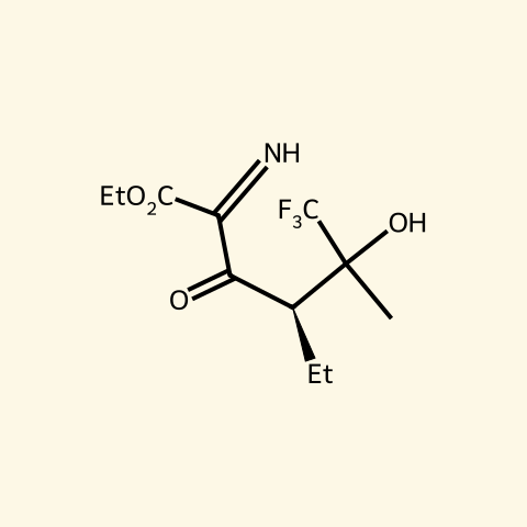 CCOC(=O)C(=N)C(=O)[C@H](CC)C(C)(O)C(F)(F)F